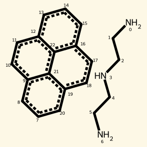 NCCNCCN.c1cc2ccc3cccc4ccc(c1)c2c34